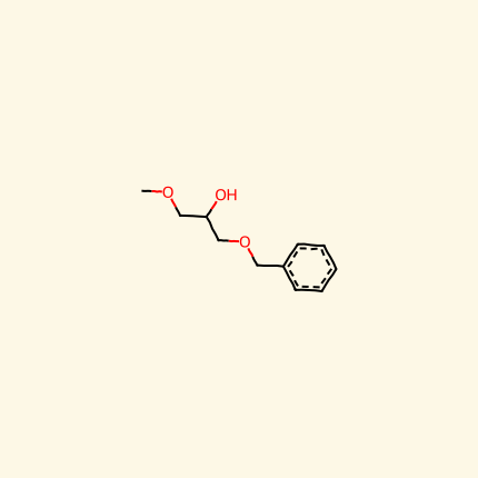 COCC(O)COCc1ccccc1